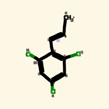 [CH2]/C=C/c1c(Cl)cc(Cl)cc1Cl